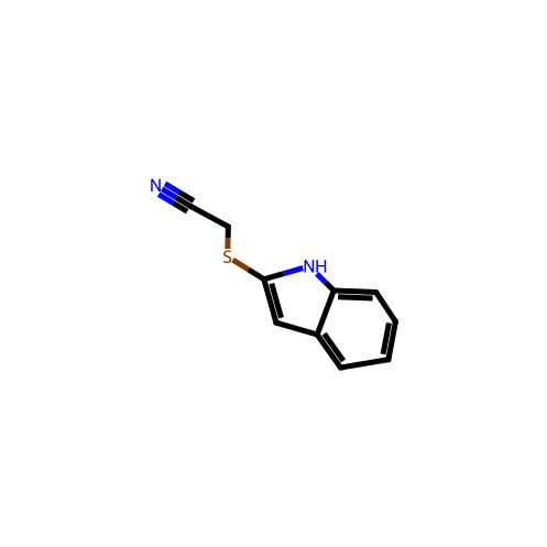 N#CCSc1cc2ccccc2[nH]1